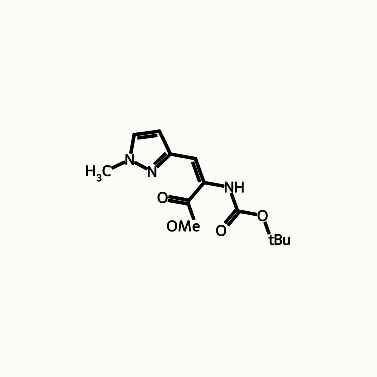 COC(=O)/C(=C\c1ccn(C)n1)NC(=O)OC(C)(C)C